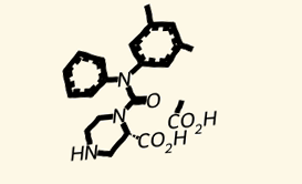 CC(=O)O.Cc1cc(C)cc(N(C(=O)N2CCNC[C@H]2C(=O)O)c2ccccc2)c1